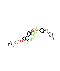 CCOc1ccc(C(F)(F)Oc2ccc3c(c2F)C(F)C(F)c2c-3ccc(OCC)c2F)cc1